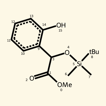 COC(=O)C(O[Si](C)(C)C(C)(C)C)c1ccccc1O